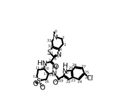 CN1CCc2nc(C(=O)N[C@@H]3CCS(=O)(=O)C[C@@H]3NC(=O)c3cc4cc(Cl)ccc4[nH]3)sc2C1